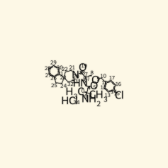 CC(C)(N)C(=O)N[C@H](COCc1ccc(Cl)cc1)C(=O)N1CCC2(CCc3ccccc32)CC1.Cl